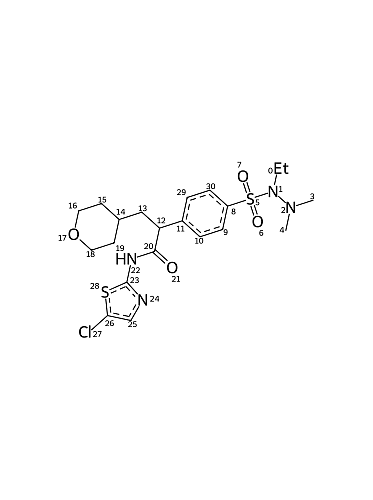 CCN(N(C)C)S(=O)(=O)c1ccc(C(CC2CCOCC2)C(=O)Nc2ncc(Cl)s2)cc1